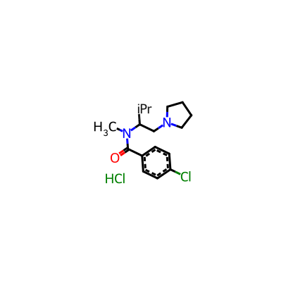 CC(C)C(CN1CCCC1)N(C)C(=O)c1ccc(Cl)cc1.Cl